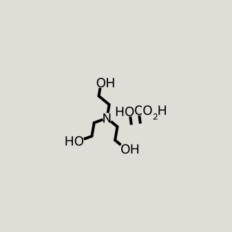 CC(=O)O.CO.OCCN(CCO)CCO